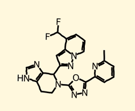 Cc1cccc(-c2nnc(N3CCc4[nH]cnc4C3c3cc4c(C(F)F)cccn4n3)o2)n1